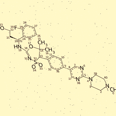 CN1CCN(c2ncc(-c3ccc(C4C(C)(C)OC(N[C@@H](CCO)c5ccccc5F)=NS4(=O)=O)cc3)cn2)CC1